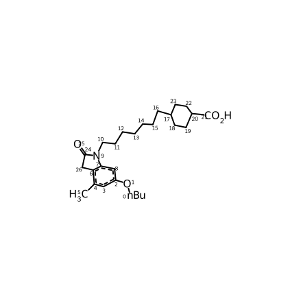 CCCCOc1cc(C)c2c(c1)N(CCCCCCCC1CCC(C(=O)O)CC1)C(=O)C2